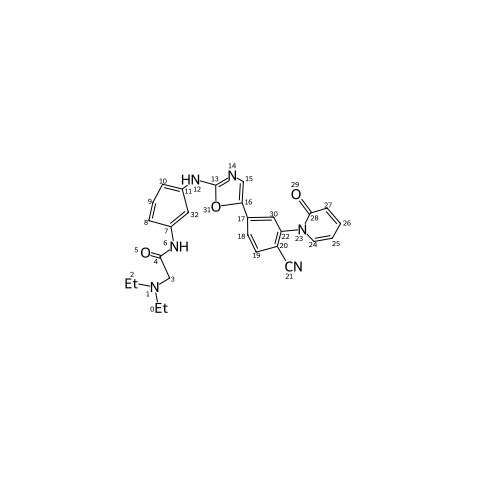 CCN(CC)CC(=O)Nc1cccc(Nc2ncc(-c3ccc(C#N)c(-n4ccccc4=O)c3)o2)c1